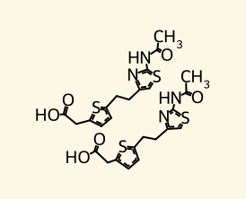 CC(=O)Nc1nc(CCc2ccc(CC(=O)O)s2)cs1.CC(=O)Nc1nc(CCc2ccc(CC(=O)O)s2)cs1